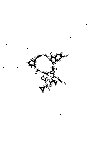 C=C[C@@H]1C[C@]1(NC(=O)[C@@H]1C[C@@H]2CN1C(=O)[C@H](C1CCCC1)NC(=O)O[C@@H]1CCC[C@H]1CCCCCn1c(nc3cc(C#N)ccc3c1=O)O2)C(=O)NS(=O)(=O)C1CC1